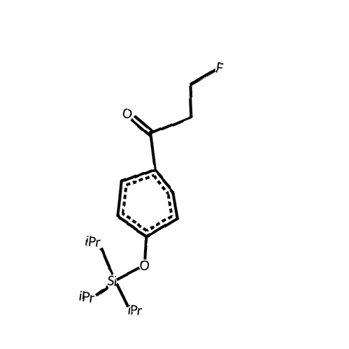 CC(C)[Si](Oc1ccc(C(=O)CCF)cc1)(C(C)C)C(C)C